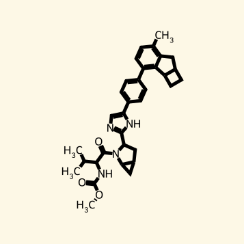 COC(=O)NC(C(=O)N1C(c2ncc(-c3ccc(-c4ccc(C)c5c4C4CCC4C5)cc3)[nH]2)CC2CC21)C(C)C